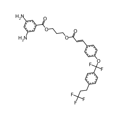 Nc1cc(N)cc(C(=O)OCCCOC(=O)C=Cc2ccc(OC(F)(F)c3ccc(CCC(F)(F)F)cc3)cc2)c1